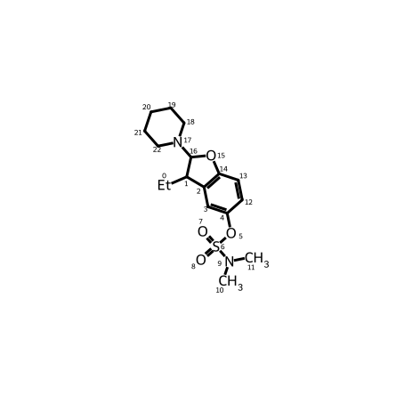 CCC1c2cc(OS(=O)(=O)N(C)C)ccc2OC1N1CCCCC1